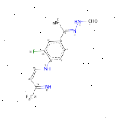 CCC/C(=N\NC=O)c1ccc(N/C=C\C(=N)C(F)(F)F)c(F)c1